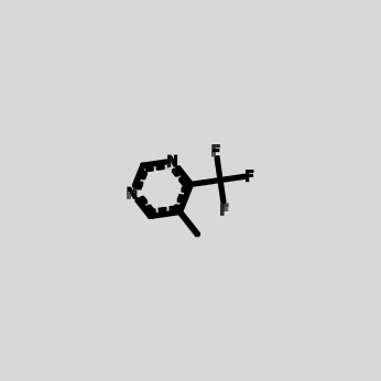 Cc1cncnc1C(F)(F)F